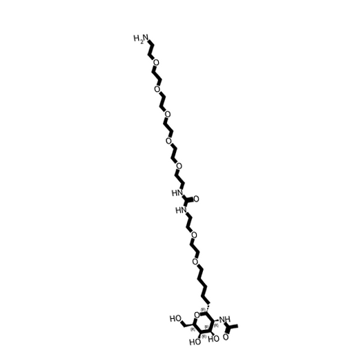 CC(=O)N[C@@H]1[C@@H](O)[C@@H](O)[C@@H](CO)O[C@@H]1CCCCCOCCOCCNC(=O)NCCOCCOCCOCCOCCOCCN